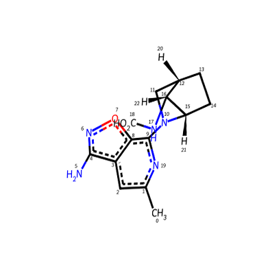 Cc1cc2c(N)noc2c(N2C[C@@H]3CC[C@H]2[C@@H]3NC(=O)O)n1